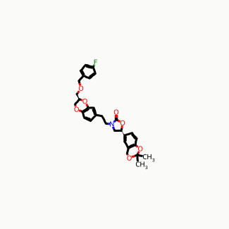 CC1(C)OCc2cc([C@@H]3CN(CCc4ccc5c(c4)O[C@H](COCc4ccc(F)cc4)CO5)C(=O)O3)ccc2O1